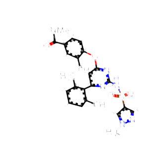 CNC(=O)c1ccc(Oc2cc(-c3c(C)cccc3C)nc(NS(=O)(=O)c3cnn(C)c3)n2)c(C)c1